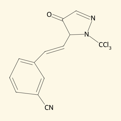 N#Cc1cccc(C=CC2C(=O)C=NN2C(Cl)(Cl)Cl)c1